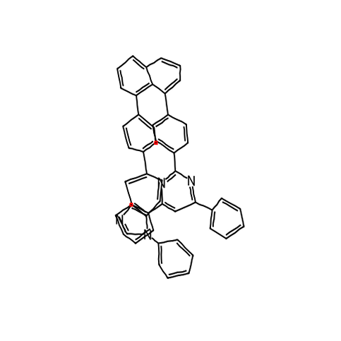 c1ccc(-c2cc(-c3ccccc3)nc(-c3ccc(-c4cccc5cccc(-c6ccc(-c7ccc8c(c7)ncn8-c7ccccc7)cc6)c45)cc3)n2)cc1